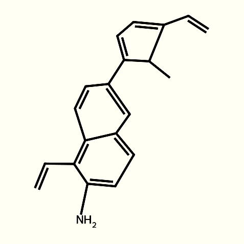 C=CC1=CC=C(c2ccc3c(C=C)c(N)ccc3c2)C1C